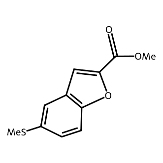 COC(=O)c1cc2cc(SC)ccc2o1